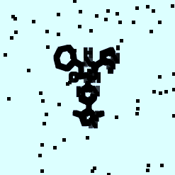 Cc1cnn(C)c1-c1cnc(NC(=O)[C@@H](NC(=O)c2ccnn2C)C2CCCCCC2)nc1